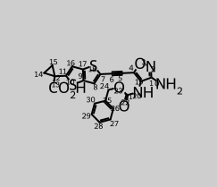 Nc1noc(C#Cc2cc3sc(C4(C(=O)O)CC4)cc3s2)c1NC(=O)OCc1ccccc1